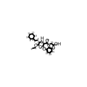 CCOC(=O)[C@H](CCC1CCCCC1)NC1COc2ccccc2N(CC(=O)O)C1=O